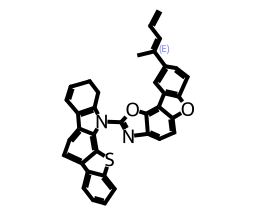 C=C/C=C(\C)c1ccc2oc3ccc4nc(-n5c6c(c7ccc8c9ccccc9sc8c75)C=CCC6)oc4c3c2c1